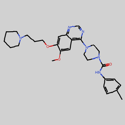 COc1cc2c(N3CCN(C(=O)Nc4ccc(C)cc4)CC3)ncnc2cc1OCCCN1CCCCC1